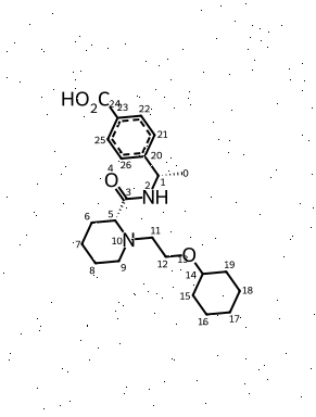 C[C@H](NC(=O)[C@H]1CCCCN1CCOC1CCCCC1)c1ccc(C(=O)O)cc1